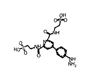 NNc1ccc(-c2cc(C(=O)NCCS(=O)(=O)O)nc(C(=O)NCCS(=O)(=O)O)c2)cc1